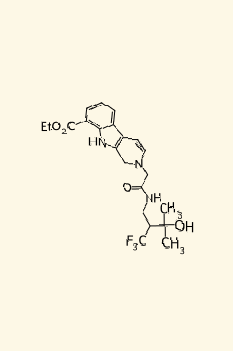 CCOC(=O)c1cccc2c3c([nH]c12)CN(CC(=O)NCC(C(C)(C)O)C(F)(F)F)C=C3